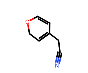 N#CCC1=CCOC=C1